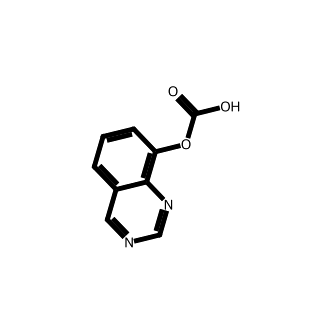 O=C(O)Oc1cccc2cncnc12